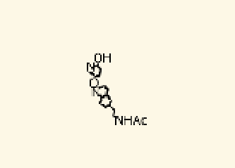 CC(=O)NCCc1ccc2nc(Oc3ccc(O)nc3)ccc2c1